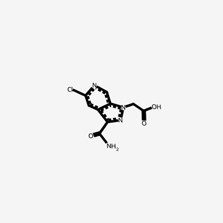 NC(=O)c1nn(CC(=O)O)c2cnc(Cl)cc12